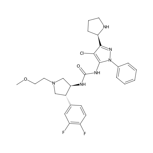 COCCN1C[C@@H](NC(=O)Nc2c(Cl)c([C@H]3CCCN3)nn2-c2ccccc2)[C@H](c2ccc(F)c(F)c2)C1